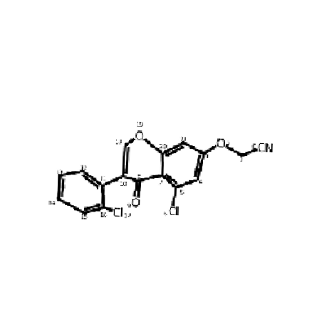 N#CCOc1cc(Cl)c2c(=O)c(-c3ccccc3Cl)coc2c1